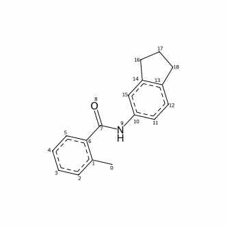 Cc1ccccc1C(=O)Nc1ccc2c(c1)CCC2